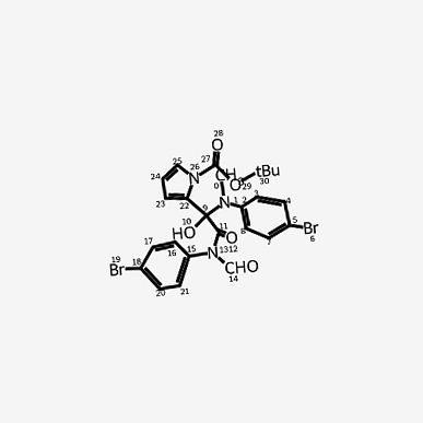 CN(c1ccc(Br)cc1)C(O)(C(=O)N(C=O)c1ccc(Br)cc1)c1cccn1C(=O)OC(C)(C)C